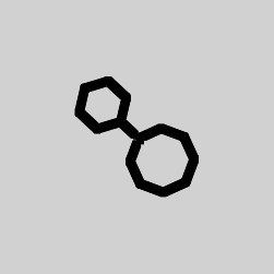 [CH]1CCCCC1N1CCCCCCC1